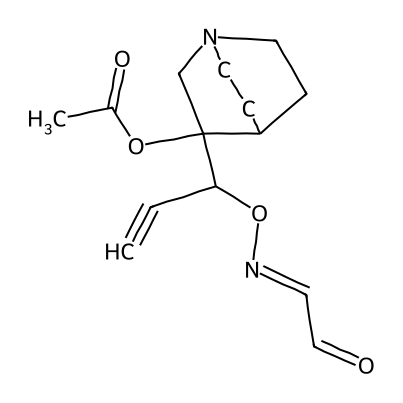 C#CC(ON=CC=O)C1(OC(C)=O)CN2CCC1CC2